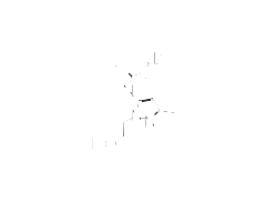 Cc1cc(NC(=O)OC(C)(C)C)n(CCO)n1